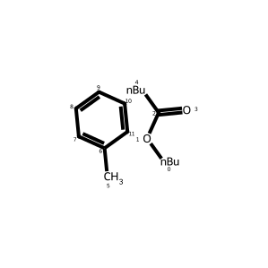 CCCCOC(=O)CCCC.Cc1ccccc1